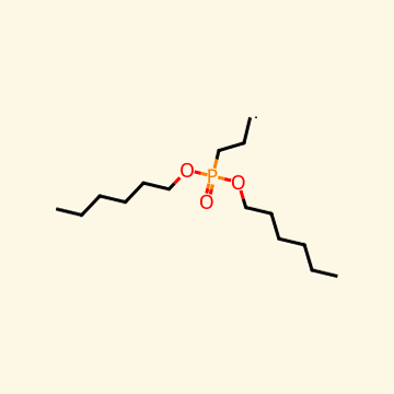 [CH2]CCP(=O)(OCCCCCC)OCCCCCC